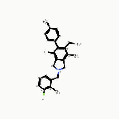 Cc1ccc(-c2c(C)c3c(c(C)c2CC(=O)O)CN(Cc2cccc(F)c2C)C3)cc1